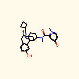 CN(C(=O)c1cc(=O)ccn1C)C1CCC23CCC1C21CCN(C2CCC2)[C@@H]3Cc2ccc(O)cc21